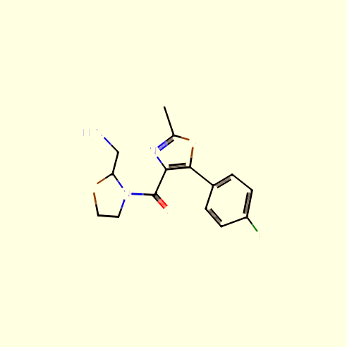 Cc1nc(C(=O)N2CCSC2CN)c(-c2ccc(F)cc2)s1